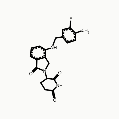 Cc1ccc(CNc2cccc3c2CN(C2CCC(=O)NC2=O)C3=O)cc1F